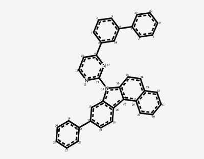 c1ccc(-c2cccc(-c3ccnc(-n4c5cc(-c6ccccc6)ccc5c5c6ccccc6ccc54)n3)c2)cc1